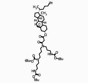 CC(C)CCCC(C)[C@H]1CC[C@H]2[C@@H]3CC=C4C[C@@H](OC(=O)CC(=O)N(CCCCN(CCCNC(=O)OC(C)(C)C)C(=O)OC(C)(C)C)CCCNC(=O)OC(C)(C)C)CC[C@]4(C)[C@H]3CC[C@]12C